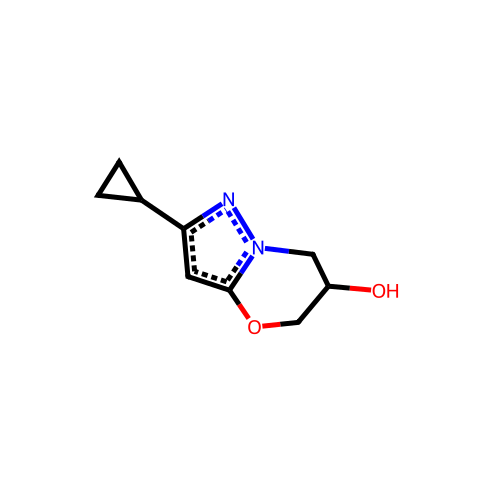 OC1COc2cc(C3CC3)nn2C1